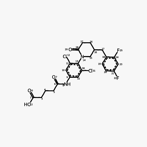 O=C(O)CCCC(=O)Nc1cc(Cl)c(N2CC(Cc3ccc(F)cc3F)CCC2=O)c(Cl)c1